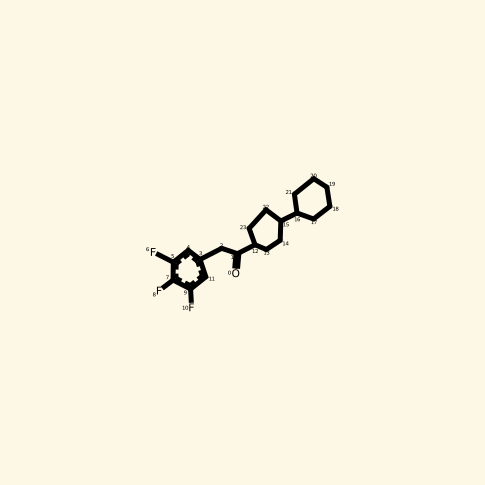 O=C(Cc1cc(F)c(F)c(F)c1)C1CCC(C2CCCCC2)CC1